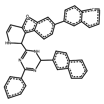 C1=Cc2oc3cc(-c4ccc5ccccc5c4)ccc3c2C(C2=NC(c3ccccc3)=NC(c3ccc4ccccc4c3)N2)N1